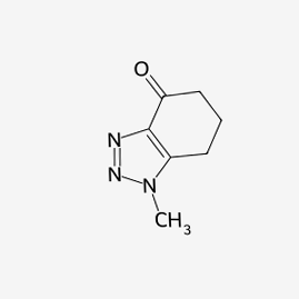 Cn1nnc2c1CCCC2=O